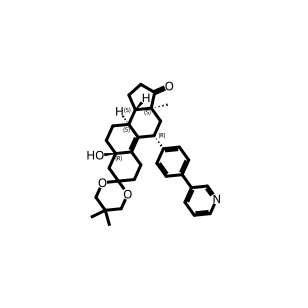 CC1(C)COC2(CCC3=C4[C@@H](CC[C@@]3(O)C2)[C@@H]2CCC(=O)[C@@]2(C)C[C@@H]4c2ccc(-c3cccnc3)cc2)OC1